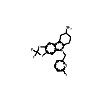 NC1CCc2c(c3cc4c(cc3n2Cc2cccc(F)n2)OC(F)(F)O4)C1